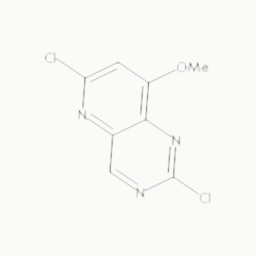 COc1cc(Cl)nc2cnc(Cl)nc12